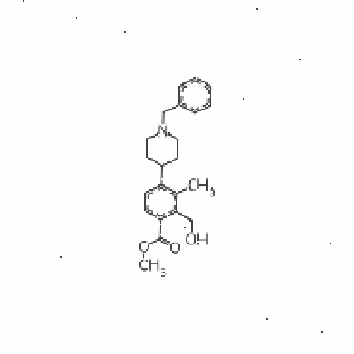 COC(=O)c1ccc(C2CCN(Cc3ccccc3)CC2)c(C)c1CO